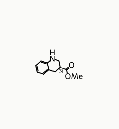 COC(=O)[C@@H]1CNc2ccccc2C1